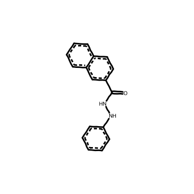 O=C(NNc1ccccc1)c1ccc2ccccc2c1